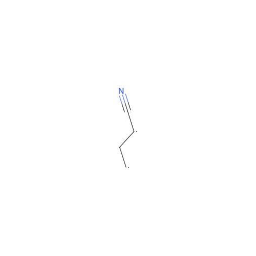 [CH2]C[CH]C#N